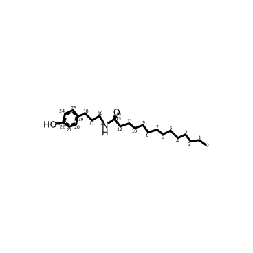 CCCCCCCCCCCCCC(=O)NCCCc1ccc(O)cc1